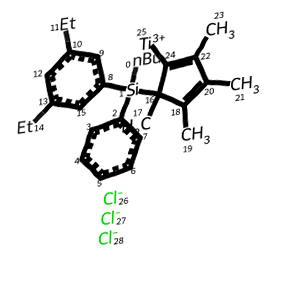 CCCC[Si](c1ccccc1)(c1cc(CC)cc(CC)c1)C1(C)C(C)=C(C)C(C)=[C]1[Ti+3].[Cl-].[Cl-].[Cl-]